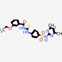 CCOc1cccc(C(=O)NC(=S)Nc2ccc(S(=O)(=O)Nc3nc(C)cc(C)n3)cc2)c1